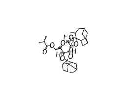 C=C(C)C(=O)OC[C@H]1O[C@H]2OC3(O[C@@H]2[C@H]2OC4(O[C@H]21)C1CC2CC(C1)CC4C2)C(C)CC1CC2CC3C2C1